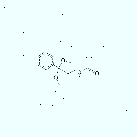 COC(CCOC=O)(OC)c1ccccc1